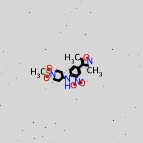 Cc1noc(C)c1-c1ccc(NC2CCN(S(C)(=O)=O)CC2)c([N+](=O)[O-])c1